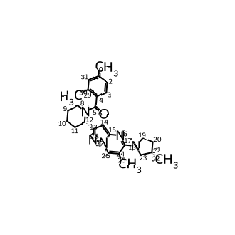 Cc1ccc(C(=O)N2CCCC[C@H]2c2cc3nc(N4CC[C@H](C)C4)c(C)cn3n2)c(C)c1